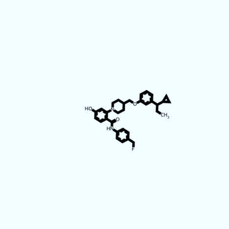 CCC(c1cccc(OCC2CCN(c3cc(O)ccc3C(=O)Nc3ccc(CF)cc3)CC2)c1)C1CC1